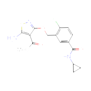 COC(=O)c1c(OCc2cc(C(=O)NC3CC3)ccc2Cl)nsc1N